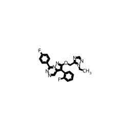 CCn1ncnc1COc1nn2c(-c3ccc(F)cc3)nncc2c1-c1ccccc1F